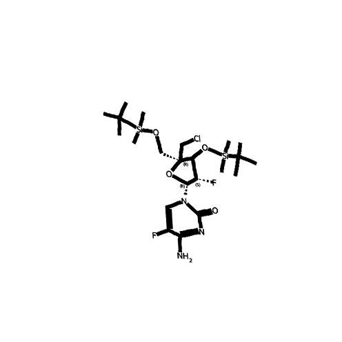 CC(C)(C)[Si](C)(C)OC[C@@]1(CCl)O[C@@H](n2cc(F)c(N)nc2=O)[C@@H](F)C1O[Si](C)(C)C(C)(C)C